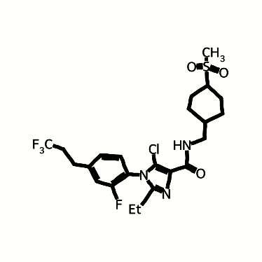 CCc1nc(C(=O)NCC2CCC(S(C)(=O)=O)CC2)c(Cl)n1-c1ccc(CCC(F)(F)F)cc1F